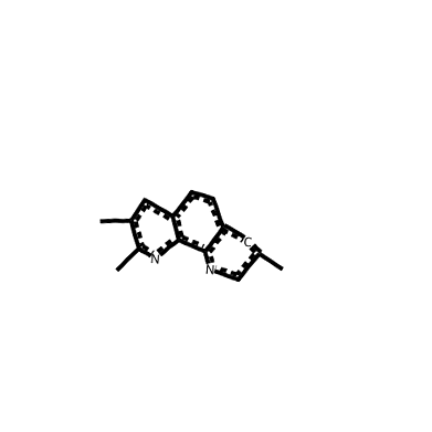 Cc1cnc2c(ccc3cc(C)c(C)nc32)c1